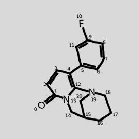 O=c1ccc(-c2cccc(F)c2)c2n1CC1CCCN2C1